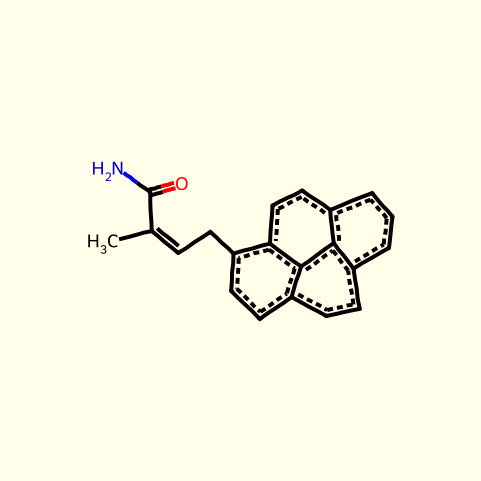 CC(=CCc1ccc2ccc3cccc4ccc1c2c34)C(N)=O